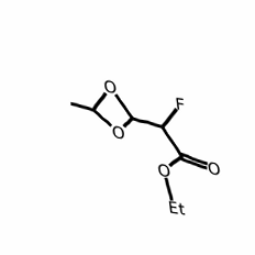 CCOC(=O)C(F)C1OC(C)O1